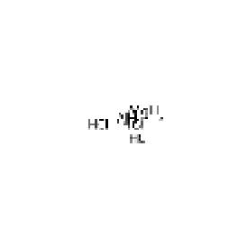 Cl.Cl.Cl.[AlH3].[MgH2]